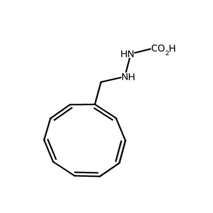 O=C(O)NNCc1ccccccccc1